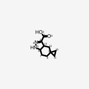 O=C(O)C1=NNC2CCC3(CC3)CC12